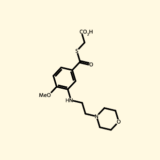 COc1ccc(C(=O)SCC(=O)O)cc1NCCN1CCOCC1